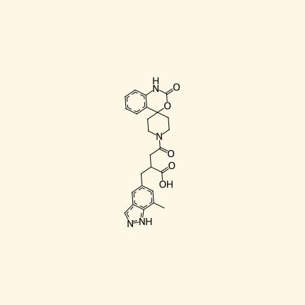 Cc1cc(CC(CC(=O)N2CCC3(CC2)OC(=O)Nc2ccccc23)C(=O)O)cc2cn[nH]c12